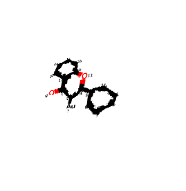 O=c1[c]([Au])c(-c2ccccc2)oc2ccccc12